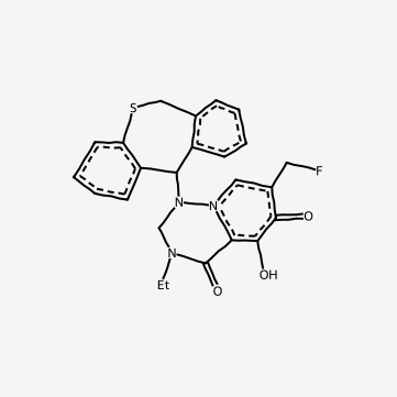 CCN1CN(C2c3ccccc3CSc3ccccc32)n2cc(CF)c(=O)c(O)c2C1=O